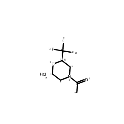 CC(=O)N1CCO[C@@H](C(F)(F)F)C1.Cl